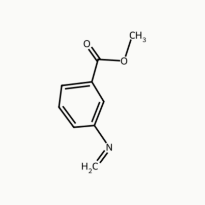 C=Nc1cccc(C(=O)OC)c1